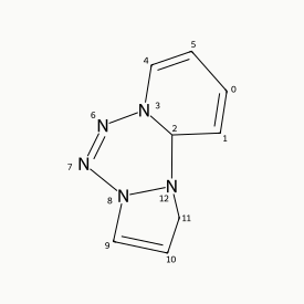 C1=CC2N(C=C1)N=NN1C=CCN21